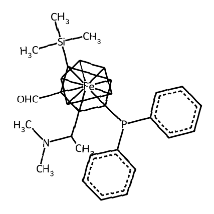 CC(N(C)C)[C]12[C]3(P(c4ccccc4)c4ccccc4)[CH]4[C]5([Si](C)(C)C)[C]1(C=O)[Fe]43251678[CH]2[CH]1[CH]6[CH]7[CH]28